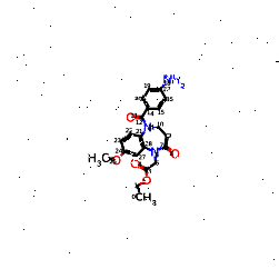 CCOC(=O)CN1C(=O)CCN(C(=O)c2ccc(N)cc2)c2ccc(OC)cc21